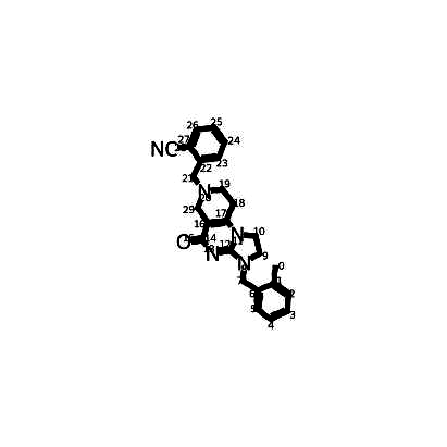 Cc1ccccc1CN1CCn2c1nc(=O)c1c2CCN(Cc2ccccc2C#N)C1